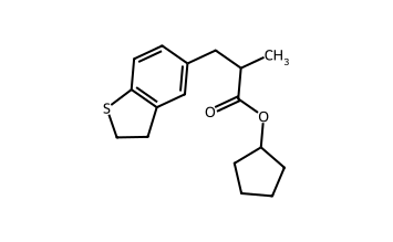 CC(Cc1ccc2c(c1)CCS2)C(=O)OC1CCCC1